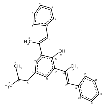 C/C(=C\c1ccccc1)c1cc(CC(C)C)cc(/C(C)=C/c2ccccc2)c1O